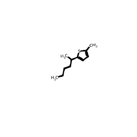 CCCCC(C)c1ccc(C)s1